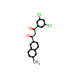 Cc1ccc2cc(C(=O)CC(=O)c3cc(Cl)cc(Cl)c3)ccc2c1